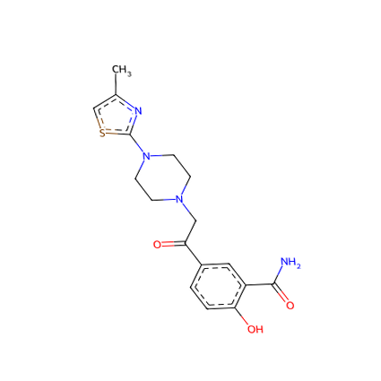 Cc1csc(N2CCN(CC(=O)c3ccc(O)c(C(N)=O)c3)CC2)n1